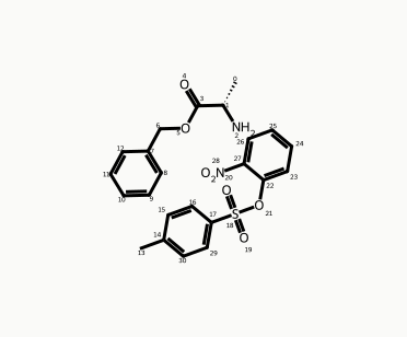 C[C@H](N)C(=O)OCc1ccccc1.Cc1ccc(S(=O)(=O)Oc2ccccc2[N+](=O)[O-])cc1